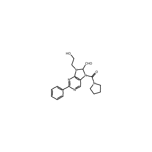 O=CC1N(CCO)c2nc(-c3ccccc3)ncc2N1C(=O)N1CCCC1